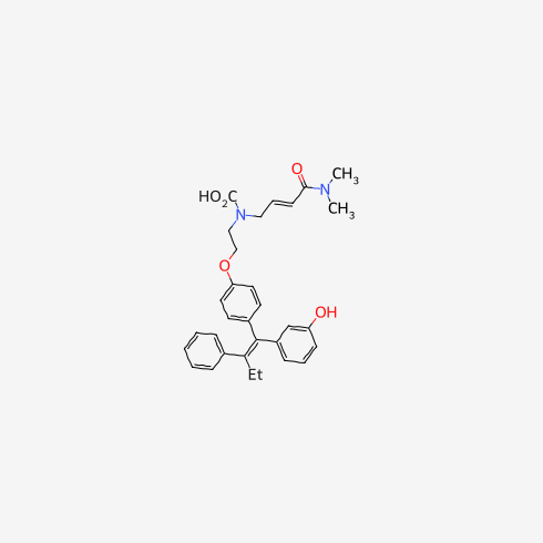 CCC(=C(c1ccc(OCCN(CC=CC(=O)N(C)C)C(=O)O)cc1)c1cccc(O)c1)c1ccccc1